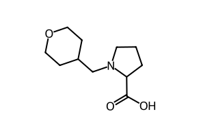 O=C(O)C1CCCN1CC1CCOCC1